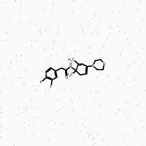 CC1=CC(N2CCOCC2)=CCC1(C)NC(=O)Cc1ccc(F)c(F)c1